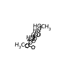 Cc1ccc(C2CCCC2)c(OC2(C(=O)NS(=O)(=O)c3cccc(NCC(C)O)n3)CC2)c1